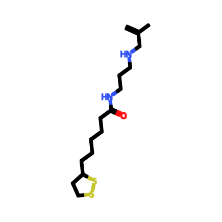 C=C(C)CNCCCNC(=O)CCCCCC1CCSS1